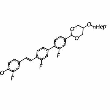 CCCCCCCOC1COC(c2ccc(-c3ccc(/C=C/c4ccc(OC(F)F)c(F)c4)c(F)c3)c(F)c2)OC1